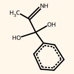 CC(=N)C(O)(O)c1ccccc1